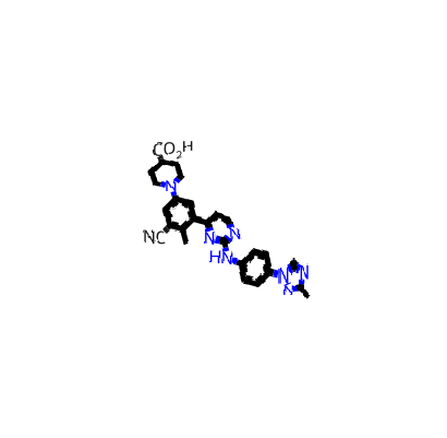 Cc1ncn(-c2ccc(Nc3nccc(-c4cc(N5CCC(C(=O)O)CC5)cc(C#N)c4C)n3)cc2)n1